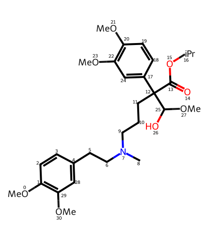 COc1ccc(CCN(C)CCCC(C(=O)OC(C)C)(c2ccc(OC)c(OC)c2)C(O)OC)cc1OC